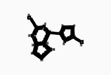 Clc1nc(-c2ccc(Cl)s2)c2sccc2n1